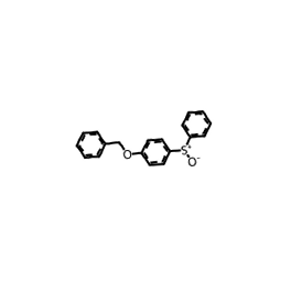 [O-][S+](c1ccccc1)c1ccc(OCc2ccccc2)cc1